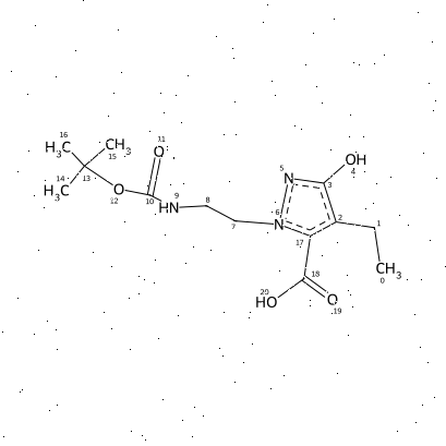 CCc1c(O)nn(CCNC(=O)OC(C)(C)C)c1C(=O)O